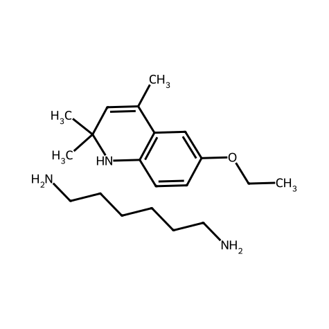 CCOc1ccc2c(c1)C(C)=CC(C)(C)N2.NCCCCCCN